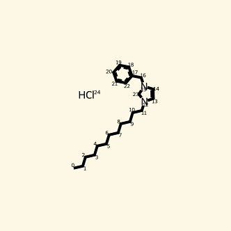 CCCCCCCCCCCCN1C=CN(Cc2ccccc2)C1.Cl